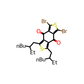 CCCCC(CC)Cc1sc(CC(CC)CCCC)c2c1C(=O)c1c(Br)sc(Br)c1C2=O